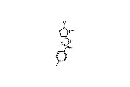 Cc1ccc(S(=O)(=O)O[C@H]2CCC(=O)N2C)cc1